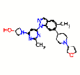 Cc1nc(N2CC(O)C2)cc(-n2ncc3cc(C)c(C4CCN(C5CCOC5)CC4)cc32)n1